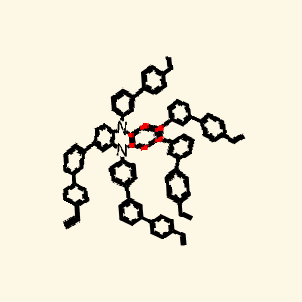 C=Cc1ccc(C2=CC(N(c3ccc(-c4cccc(-c5ccc(C=C)cc5)c4)cc3)c3ccc(-c4cccc(-c5ccc(C=C)cc5)c4)cc3N(C3=CC=C(c4cccc(-c5ccc(C=C)cc5)c4)CC3)c3ccc(-c4cccc(-c5ccc(C=C)cc5)c4)cc3)=C=C=C2)cc1